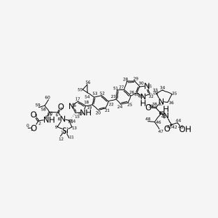 COC(=O)N[C@H](C(=O)N1C[Si](C)(C)C[C@H]1c1ncc(-c2ccc(-c3ccc4c(ccc5nc([C@@H]6CCCN6C(=O)[C@@H](NC(=O)CO)C(C)C)[nH]c54)c3)cc2C2CC2)[nH]1)C(C)C